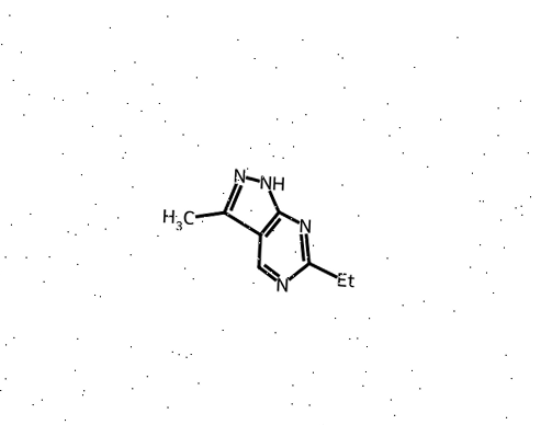 CCc1ncc2c(C)n[nH]c2n1